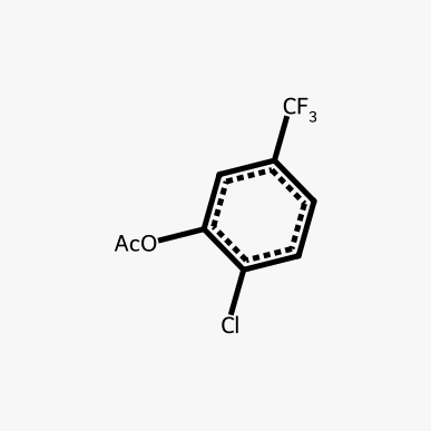 CC(=O)Oc1cc(C(F)(F)F)ccc1Cl